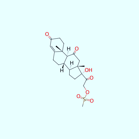 C[C@]12CCC(=O)C=C1CC[C@@H]1[C@@H]2C(=O)C[C@@]2(C)[C@H]1CC[C@]2(O)C(=O)COS(C)(=O)=O